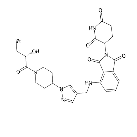 CC(C)C[C@H](O)C(=O)N1CCC(n2cc(CNc3cccc4c3C(=O)N(C3CCC(=O)NC3=O)C4=O)cn2)CC1